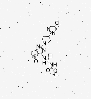 CC(C)(C)OC(=O)NCC1(Nc2nc(N3CCC(c4ncc(Cl)cn4)CC3)nc3c2[S@+]([O-])CC3)CCC1